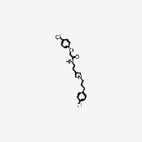 O=C(COc1ccc(Cl)cc1)NCCC1CN(CCCc2ccc(Cl)cc2)C1